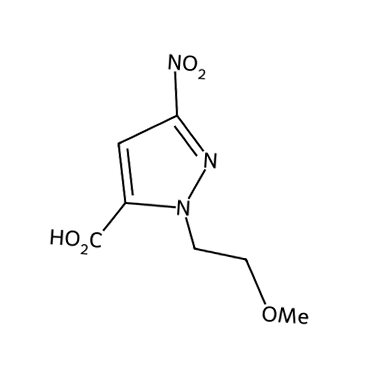 COCCn1nc([N+](=O)[O-])cc1C(=O)O